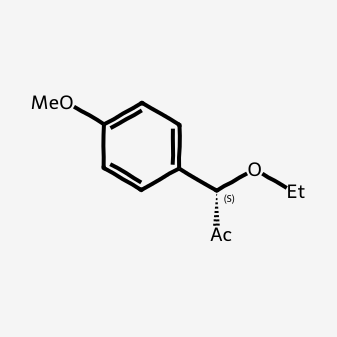 CCO[C@H](C(C)=O)c1ccc(OC)cc1